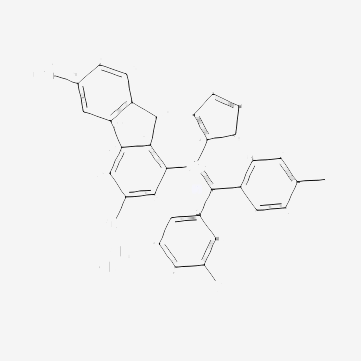 Cc1ccc(/[C](c2cccc(Cl)c2)=[Zr+2](\[C]2=CC=CC2)[c]2cc(C(C)(C)C)cc3c2Cc2ccc(C(C)(C)C)cc2-3)cc1.[Cl-].[Cl-]